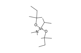 CCC(C)(C)[O][Sn]([O]C(C)(C)CC)([CH](C)C)[N](C)C